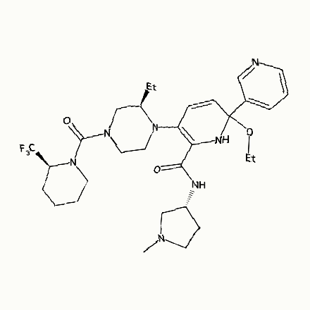 CCOC1(c2cccnc2)C=CC(N2CCN(C(=O)N3CCCC[C@H]3C(F)(F)F)C[C@H]2CC)=C(C(=O)N[C@@H]2CCN(C)C2)N1